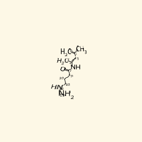 C=C(C)/C=C(\C)NC(=O)CCCNN